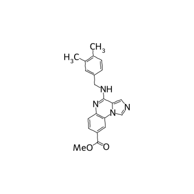 COC(=O)c1ccc2nc(NCc3ccc(C)c(C)c3)c3cncn3c2c1